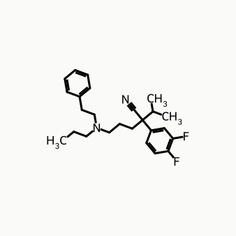 CCCN(CCCC(C#N)(c1ccc(F)c(F)c1)C(C)C)CCc1ccccc1